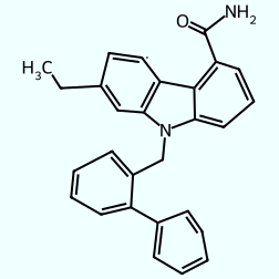 CCc1c[c]c2c3c(C(N)=O)cccc3n(Cc3ccccc3-c3ccccc3)c2c1